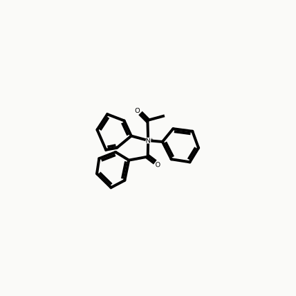 CC(=O)[N+](C(=O)c1ccccc1)(c1ccccc1)c1ccccc1